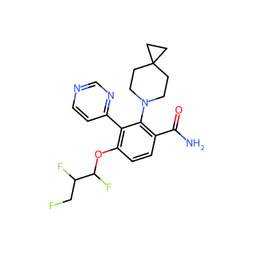 NC(=O)c1ccc(OC(F)C(F)CF)c(-c2ccncn2)c1N1CCC2(CC1)CC2